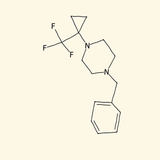 FC(F)(F)C1(N2CCN(Cc3ccccc3)CC2)CC1